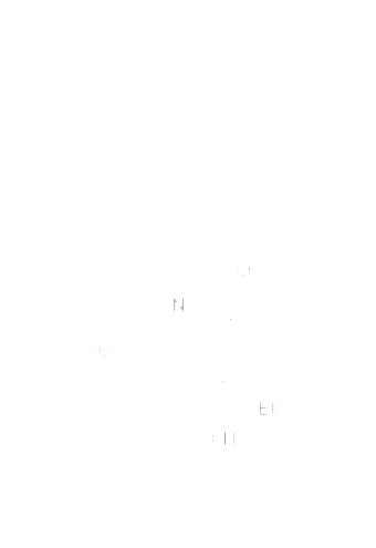 CCC1(C)CC(=O)N(CCCCCl)C(=O)C1